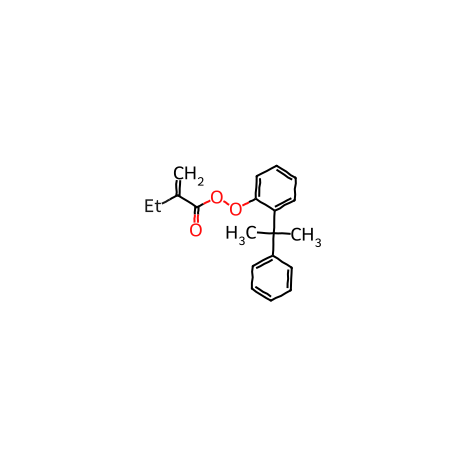 C=C(CC)C(=O)OOc1ccccc1C(C)(C)c1ccccc1